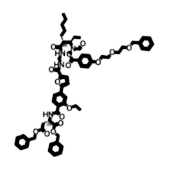 CCCCC[C@@H](C(=O)NCNC(=O)c1ccc(-c2ccc(C(=O)N[C@@H](CC(=O)OCc3ccccc3)C(=O)OCc3ccccc3)c(OCC)c2)o1)[C@@H](CC)N(C=O)OC(=O)c1ccc(OCCOCCOCc2ccccc2)cc1